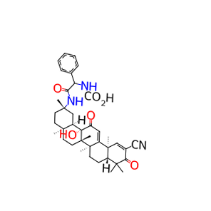 CC1(C)C(=O)C(C#N)=C[C@]2(C)C3=CC(=O)[C@]4(O)[C@@H]5C[C@@](C)(NC(=O)C(NC(=O)O)c6ccccc6)CC[C@]5(C)CC[C@@]4(C)[C@]3(C)CC[C@@H]12